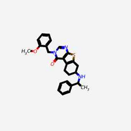 COc1ccccc1Cn1cnc2sc3c(c2c1=O)CCC(NC(C)c1ccccc1)C3